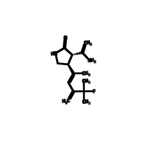 C=C(N)[C@H]1C(=O)NC[C@@H]1/C(C)=C/C(=C)C(C)(C)F